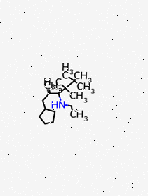 C=C(CC1CCCC1)C(NCC)C(C)(C)C(C)(C)C